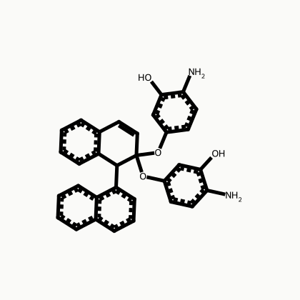 Nc1ccc(OC2(Oc3ccc(N)c(O)c3)C=Cc3ccccc3C2c2cccc3ccccc23)cc1O